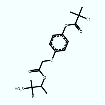 CCC(C)(C)C(=O)Oc1ccc(OCC(=O)OC(C)C(F)(F)S(=O)(=O)O)cc1